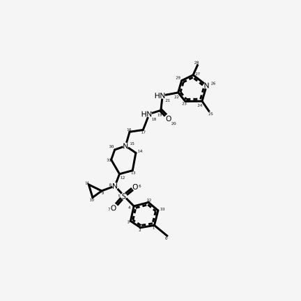 Cc1ccc(S(=O)(=O)N(C2CC2)C2CCN(CCNC(=O)Nc3cc(C)nc(C)c3)CC2)cc1